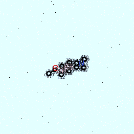 c1ccc(-c2coc(B3c4ccccc4B4c5cccc6c5B(c5ccccc5B6c5cccc6c(N(c7ccccc7)c7ccccc7)cccc56)c5cccc3c54)c2)cc1